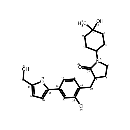 CC1(O)CCC(N2CCC(Cc3ccc(-c4ccc(CO)o4)cc3Cl)C2=O)CC1